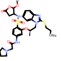 CCOC1OC(=O)CC1NS(=O)(=O)c1ccc(NC(=O)CN2CCCC2)cc1O[C@H](C)Cn1c(SCCOC)nc2ccccc21